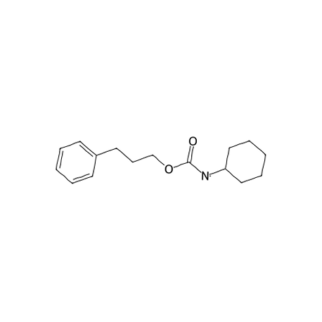 O=C([N]C1CCCCC1)OCCCc1ccccc1